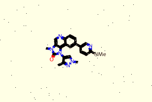 CNc1ccc(-c2ccc3ncc4c(c3c2)n(-c2cn(C)nc2C)c(=O)n4C)cn1